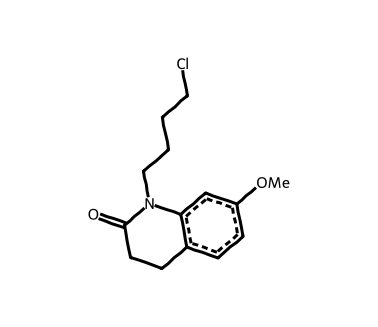 COc1ccc2c(c1)N(CCCCCl)C(=O)CC2